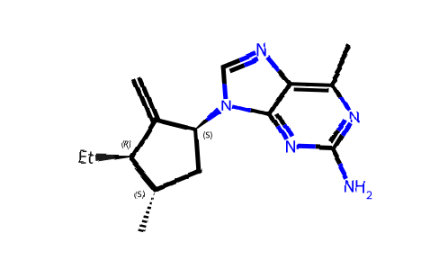 C=C1[C@H](CC)[C@@H](C)C[C@@H]1n1cnc2c(C)nc(N)nc21